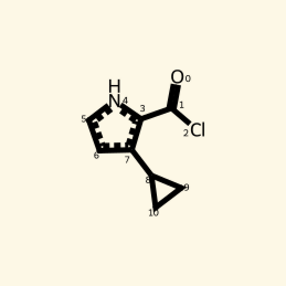 O=C(Cl)c1[nH]ccc1C1CC1